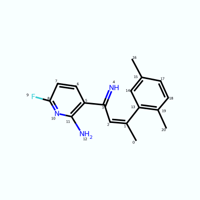 C/C(=C/C(=N)c1ccc(F)nc1N)c1cc(C)ccc1C